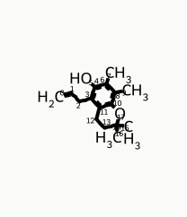 C=CCc1c(O)c(C)c(C)c2c1CCC(C)(C)O2